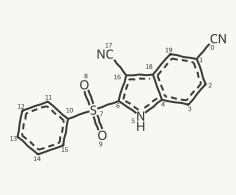 N#Cc1ccc2[nH]c(S(=O)(=O)c3ccccc3)c(C#N)c2c1